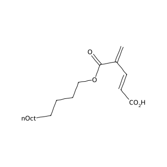 C=C(C=CC(=O)O)C(=O)OCCCCCCCCCCCC